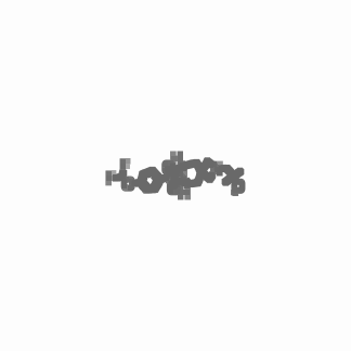 COC(C)(C)CN1CC2(C[C@H]3CC[C@@H](C2)N3S(=O)(=O)c2ccc(OC(F)F)cc2)C1